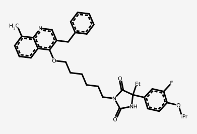 CCC1(c2ccc(OC(C)C)c(F)c2)NC(=O)N(CCCCCCOc2c(Cc3ccccc3)cnc3c(C)cccc23)C1=O